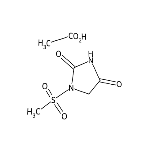 CC(=O)O.CS(=O)(=O)N1CC(=O)NC1=O